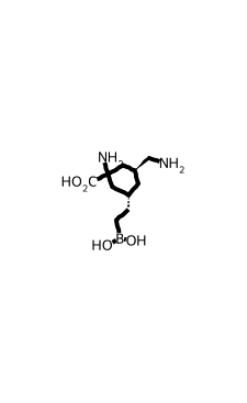 NC[C@H]1C[C@H](CCB(O)O)CC(N)(C(=O)O)C1